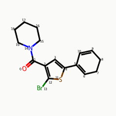 O=C(c1cc(C2=CCCC=C2)sc1Br)N1CCCCC1